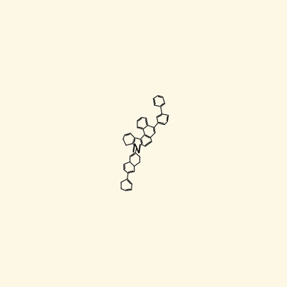 C1=CCCC(C2=CC3CCC(n4c5c(c6c7c(ccc64)cc(-c4cccc(-c6ccccc6)c4)c4ccccc47)C=CCC5)=CC3C=C2)=C1